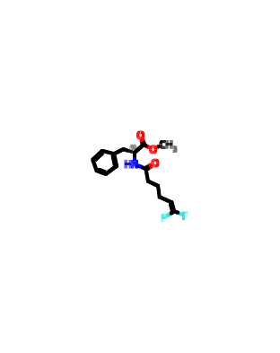 COC(=O)[C@H](Cc1ccccc1)NC(=O)CCCC=C(F)F